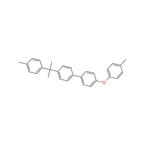 Cc1ccc(Oc2ccc(-c3ccc(C(C)(C)c4ccc(C)cc4)cc3)cc2)cc1